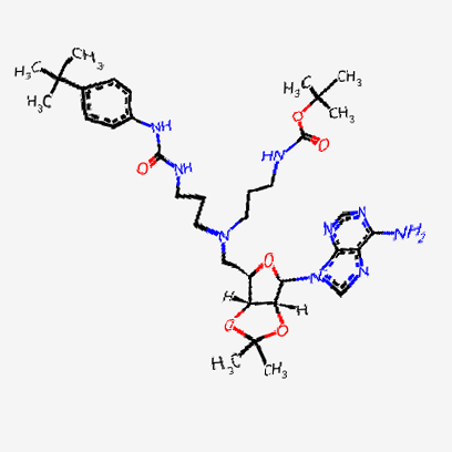 CC(C)(C)OC(=O)NCCCN(CCCNC(=O)Nc1ccc(C(C)(C)C)cc1)C[C@H]1OC(n2cnc3c(N)ncnc32)[C@@H]2OC(C)(C)O[C@H]12